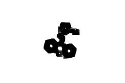 C=CB(c1ccccc1)c1ccccc1C(F)(F)F.CCn1ccnc1